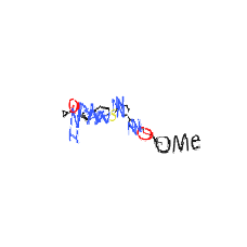 COCCOCn1cc(-c2ccc3nnc(Sc4ccc5nc(NC(=O)C6CC6)cn5n4)n3c2)cn1